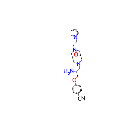 N#Cc1ccc(OC[C@H](N)CN2CC3CN(CCn4cccc4)CC(C2)O3)cc1